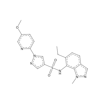 CCc1ccc2cnn(C)c2c1NS(=O)(=O)c1cnn(-c2ccc(OC)cn2)c1